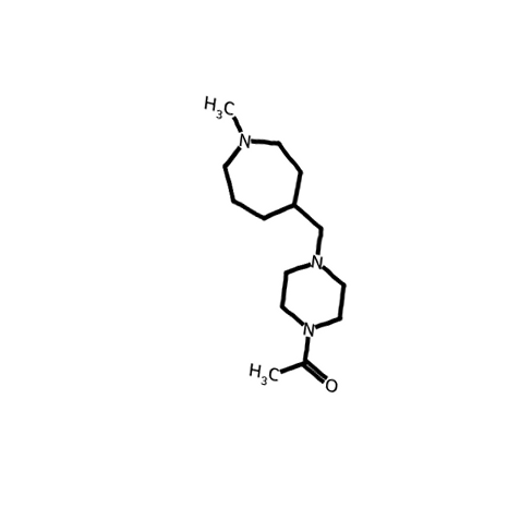 CC(=O)N1CCN(CC2CCCN(C)CC2)CC1